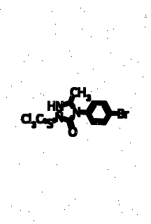 CC1NN(SC(Cl)(Cl)Cl)C(=O)N1c1ccc(Br)cc1